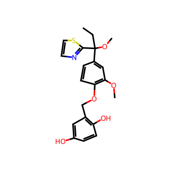 CCC(OC)(c1ccc(OCc2cc(O)ccc2O)c(OC)c1)c1nccs1